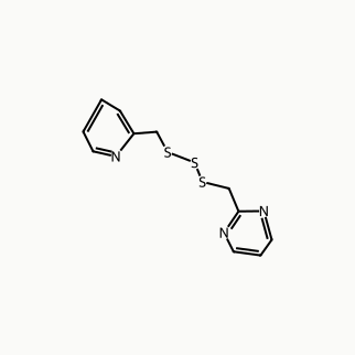 c1ccc(CSSSCc2ncccn2)nc1